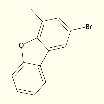 Cc1cc(Br)cc2c1oc1ccccc12